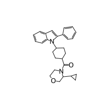 O=C(C1CCC(n2c(-c3ccccc3)cc3ccccc32)CC1)N1CCOCC1C1CC1